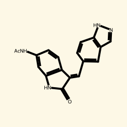 CC(=O)Nc1ccc2c(c1)NC(=O)/C2=C/c1ccc2[nH]ncc2c1